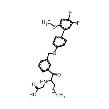 COCC(NCC(=O)O)C(=O)c1cccc(COc2ccc(-c3cc(F)c(F)cc3SC)cc2)c1